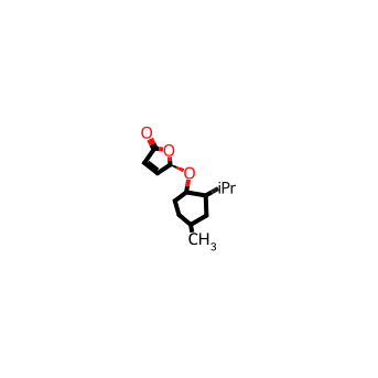 CC1CCC(O[C@H]2C=CC(=O)O2)C(C(C)C)C1